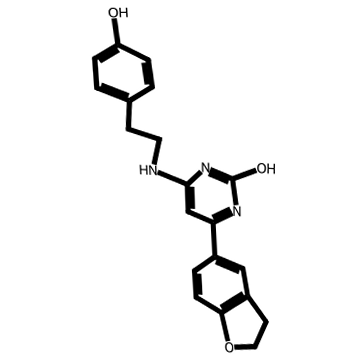 Oc1ccc(CCNc2cc(-c3ccc4c(c3)CCO4)nc(O)n2)cc1